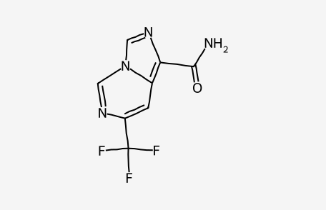 NC(=O)c1ncn2cnc(C(F)(F)F)cc12